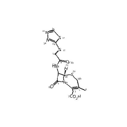 CC1=C(C(=O)O)N2C(=O)C(NC(=O)CSc3nncs3)[C@@H]2SC1